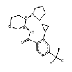 O=C(N[C@H]1COCC[C@H]1N1CCCC1)c1ccc(C(F)(F)F)cc1C1CC1